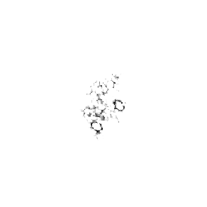 CCc1sc(C)nc1CN1CCN([C@H](C(=O)N[C@@H](Cc2ccccc2)[C@@H](O)CN(CC(C)C)S(=O)(=O)c2ccc(OC)cc2)C(C)C)C1=O